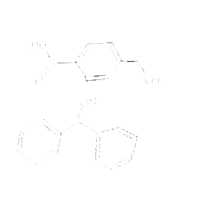 COc1ccc(S(=O)O)cc1.OC(c1ccccc1)c1ccccc1